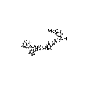 COc1ccc2[nH]cc(CCNCc3ccc(CNCCN(CCNCc4ccccn4)Cc4ccccn4)cc3)c2c1